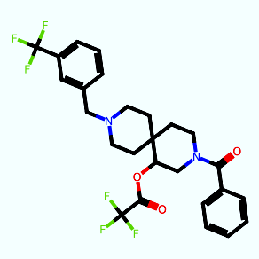 O=C(c1ccccc1)N1CCC2(CCN(Cc3cccc(C(F)(F)F)c3)CC2)C(OC(=O)C(F)(F)F)C1